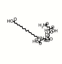 NC(=O)CCC(NC(=O)CCC(NC(=O)CCC(NC(=O)CCCCCCCCCCCCCCCCC(=O)O)C(=O)O)C(=O)O)C(=O)O